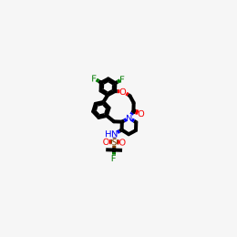 CC(C)(F)S(=O)(=O)NC1CCCN2C(=O)CCOc3c(F)cc(F)cc3-c3cccc(c3)CC12